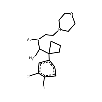 CC(=O)N(CCN1CCOCC1)C(C)C1(c2ccc(Cl)c(Cl)c2)CCC1